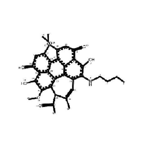 CCCCNc1c(O)c2c(=O)cc(OC)c3c4c(OC)cc(=O)c5c(O)c(OC)c6c(c(c1C=C(C)C6C(C)=O)c23)c54